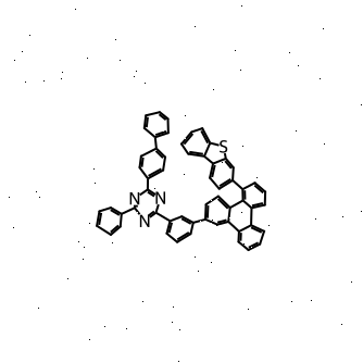 c1ccc(-c2ccc(-c3nc(-c4ccccc4)nc(-c4cccc(-c5ccc6c(c5)c5ccccc5c5cccc(-c7ccc8c(c7)sc7ccccc78)c56)c4)n3)cc2)cc1